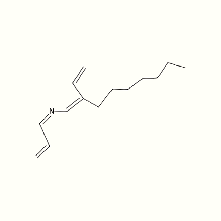 C=C/C=N\C=C(/C=C)CCCCCCC